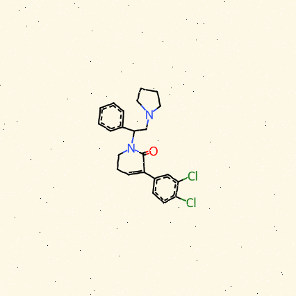 O=C1C(c2ccc(Cl)c(Cl)c2)=CCCN1C(CN1CCCC1)c1ccccc1